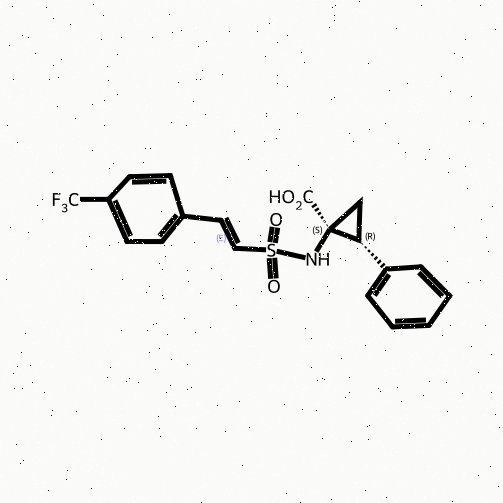 O=C(O)[C@]1(NS(=O)(=O)/C=C/c2ccc(C(F)(F)F)cc2)C[C@@H]1c1ccccc1